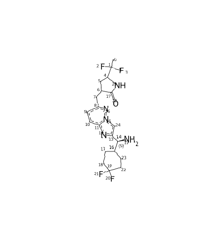 CC(F)(F)C1CC(Cc2ccc3nc([C@@H](N)C4CCC(F)(F)CC4)cn3n2)C(=O)N1